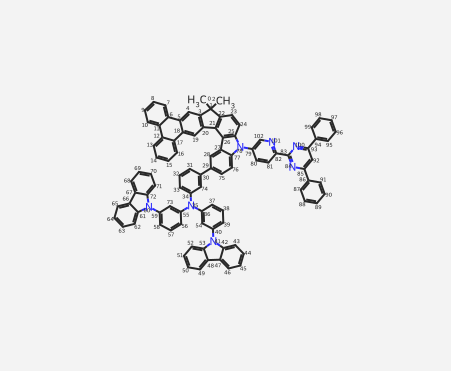 CC1(C)c2cc3c4ccccc4c4ccccc4c3cc2-c2c1ccc1c2c2cc(-c3cccc(N(c4cccc(-n5c6ccccc6c6ccccc65)c4)c4cccc(-n5c6ccccc6c6ccccc65)c4)c3)ccc2n1-c1ccc(-c2nc(-c3ccccc3)cc(-c3ccccc3)n2)nc1